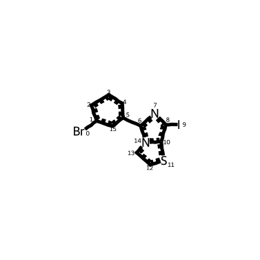 Brc1cccc(-c2nc(I)c3sccn23)c1